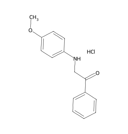 COc1ccc(NCC(=O)c2ccccc2)cc1.Cl